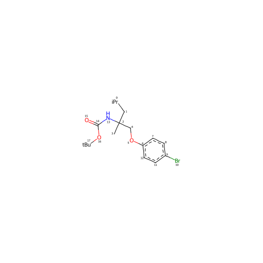 CC(C)CC(C)(COc1ccc(Br)cc1)NC(=O)OC(C)(C)C